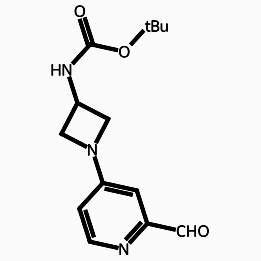 CC(C)(C)OC(=O)NC1CN(c2ccnc(C=O)c2)C1